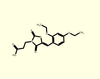 CCOc1ccc(/C=C2\SC(=S)N(CCC(=O)O)C2=O)c(OCC)c1